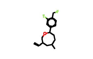 C=CC1COC(c2ccc(CF)c(F)c2)CCC(C)C1